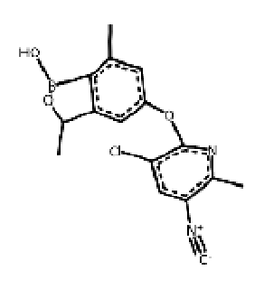 [C-]#[N+]c1cc(Cl)c(Oc2cc(C)c3c(c2)C(C)OB3O)nc1C